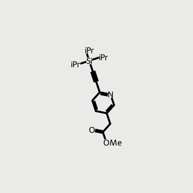 COC(=O)Cc1ccc(C#C[Si](C(C)C)(C(C)C)C(C)C)nc1